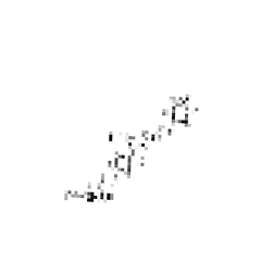 CC(C)NCC(O)COc1ccc(OCCOCCc2ccc(F)cc2)c(F)c1.Cl